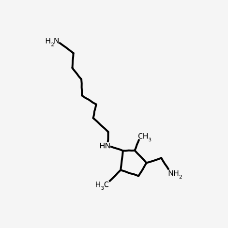 CC1CC(CN)C(C)C1NCCCCCCCN